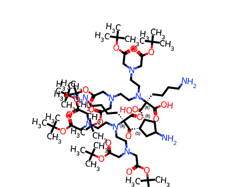 CC(C)(C)OC(=O)CN(CCN(CCN(CC(=O)OC(C)(C)C)CC(=O)OC(C)(C)C)[C@@](CCCCN)(C(=O)O)C(=O)[C@H]1CC(N)C[C@H]1C(=O)[C@](CCCCN)(C(=O)O)N(CCN(CC(=O)OC(C)(C)C)CC(=O)OC(C)(C)C)CCN(CC(=O)OC(C)(C)C)CC(=O)OC(C)(C)C)CC(=O)OC(C)(C)C